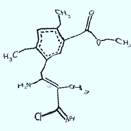 COC(=O)c1cc(/C(N)=C(\C)C(=N)Cl)c(C)cc1C